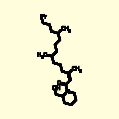 CC(=CC(=O)N1CCCCC1CO)CCCC(C)CCCC(C)CCCC(C)C